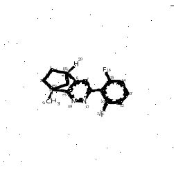 C[C@@]12CC[C@@H](C1)c1cc(-c3c(F)cccc3F)nnc12